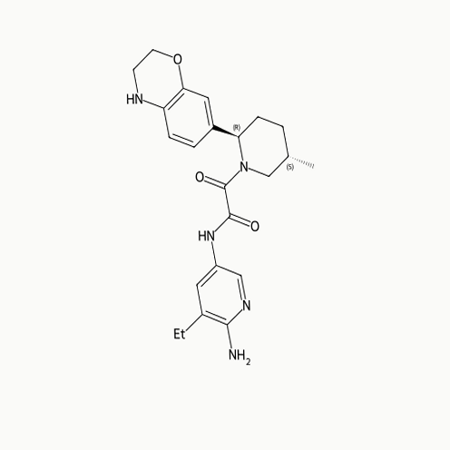 CCc1cc(NC(=O)C(=O)N2C[C@@H](C)CC[C@@H]2c2ccc3c(c2)OCCN3)cnc1N